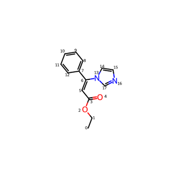 CCOC(=O)C=C(c1ccccc1)n1ccnc1